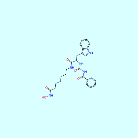 O=C(CCCCCCNC(=O)C(Cc1c[nH]c2ccccc12)NC(=O)NC(=O)c1ccccc1)NO